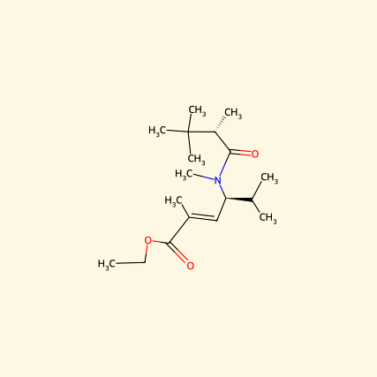 CCOC(=O)/C(C)=C/[C@H](C(C)C)N(C)C(=O)[C@@H](C)C(C)(C)C